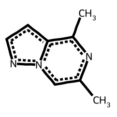 Cc1cn2nccc2c(C)n1